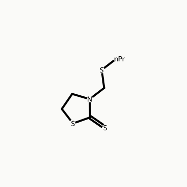 CCCSCN1CCSC1=S